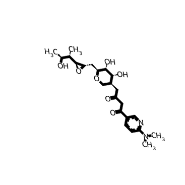 C[C@H]([C@@H]1O[C@H]1C[C@@H]1OC[C@H](CC(=O)CC(=O)c2ccc(N(C)C)nc2)[C@@H](O)[C@H]1O)[C@H](C)O